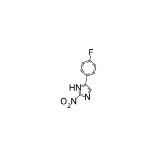 O=[N+]([O-])c1ncc(-c2ccc(F)cc2)[nH]1